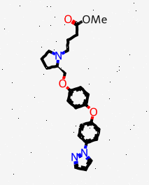 COC(=O)CCCN1CCC[C@@H]1COc1ccc(Oc2ccc(-n3cccn3)cc2)cc1